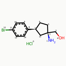 Cl.N[C@]1(CO)CC[C@H](c2ccc(Br)cc2)C1